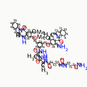 COc1cc(C(=O)N2c3ccccc3C[C@H]2C)c(N)cc1OCc1cc(COc2cc3c(cc2OC)C(=O)N2c4ccccc4C[C@H]2CN3)cc(NC(=O)[C@H](C)NC(=O)[C@H](C)NC(=O)CCCCC(=O)NCCCON)c1